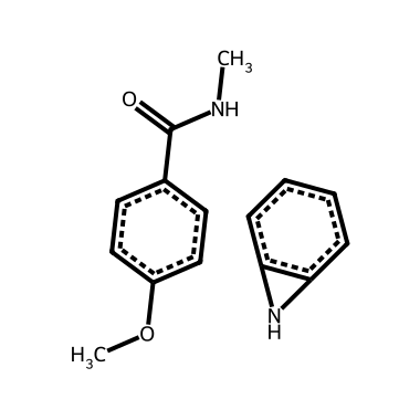 CNC(=O)c1ccc(OC)cc1.c1ccc2c(c1)N2